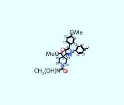 COC(=O)C1(c2cc(-c3ccc(OC)cc3)n(-c3ccc(C)cc3)n2)CCN(C(=O)N(C)O)CC1